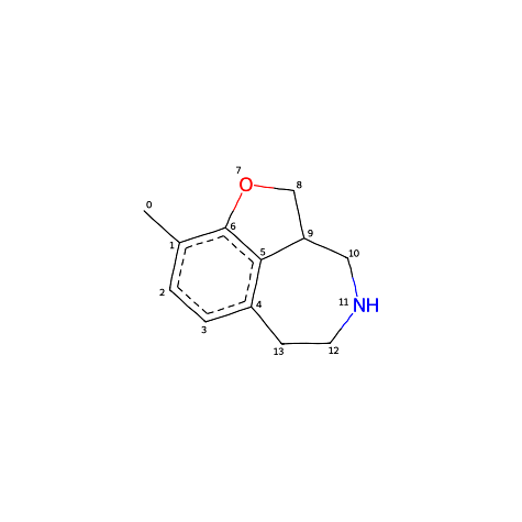 Cc1ccc2c3c1OCC3CNCC2